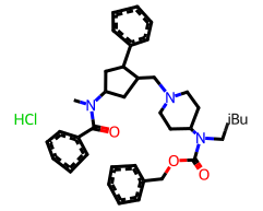 CCC(C)CN(C(=O)OCc1ccccc1)C1CCN(CC2CC(N(C)C(=O)c3ccccc3)CC2c2ccccc2)CC1.Cl